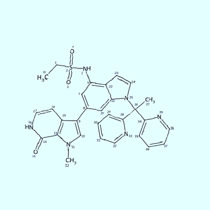 CCS(=O)(=O)Nc1cc(-c2cn(C)c3c(=O)[nH]ccc23)cc2c1ccn2C(C)(c1ccccn1)c1ccccn1